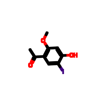 COc1cc(O)c(I)cc1C(C)=O